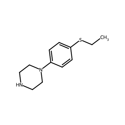 CCSc1ccc(N2CCNCC2)cc1